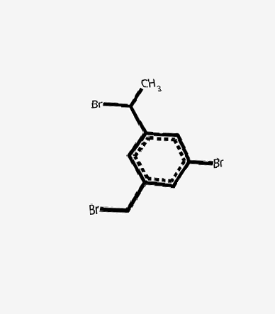 CC(Br)c1cc(Br)cc(CBr)c1